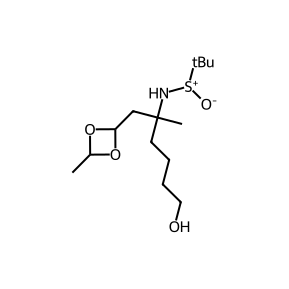 CC1OC(CC(C)(CCCCO)N[S+]([O-])C(C)(C)C)O1